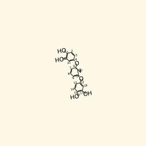 Oc1ccc(Oc2cccc(Oc3ccc(O)c(O)c3)n2)cc1O